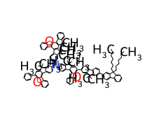 CCCCCCCC1(CCCCCCC)c2ccccc2-c2ccc(-c3ccc4c(c3)C(C)(C)c3cc(-c5cc6c(c7c5oc5ccccc57)-c5ccc(N(c7ccc8c(c7)C(C)(C)c7cc(-c9ccccc9)c9oc%10ccccc%10c9c7-8)c7ccc8c(c7)C(C)(C)c7c9c(c%10oc%11ccccc%11c%10c7-8)-c7ccccc7C9(C)C)cc5C6(C)C)ccc3-4)cc21